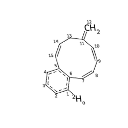 [2H]c1cccc2c1C=CC=CC(=C)CC=C2